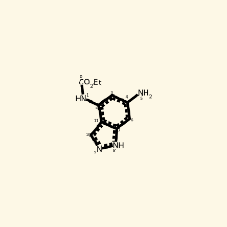 CCOC(=O)Nc1cc(N)cc2[nH]ncc12